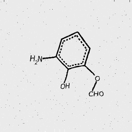 Nc1cccc(OC=O)c1O